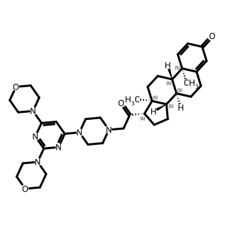 C[C@]12CC[C@H]3[C@@H](CCC4=CC(=O)C=C[C@@]43C)[C@@H]1CC[C@@H]2C(=O)CN1CCN(c2cc(N3CCOCC3)nc(N3CCOCC3)n2)CC1